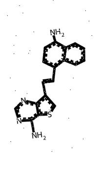 Nc1ccc(/C=C/c2csc3c(N)ncnc23)c2ccccc12